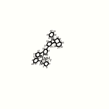 Nc1ccccc1/N=C(\Cn1c2ccccc2c2cc(-c3ccc4c(c3)c3c5ccccc5ccc3n4-c3ccccc3)ccc21)c1ccccc1